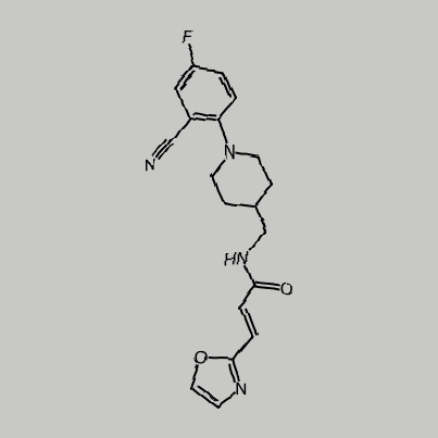 N#Cc1cc(F)ccc1N1CCC(CNC(=O)/C=C/c2ncco2)CC1